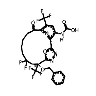 O=C(O)Nc1cc(C(F)(F)F)c2nc1-c1nnc(o1)[C@@](OCc1ccccc1)(C(F)(F)F)CC(F)(F)CCCCC2=O